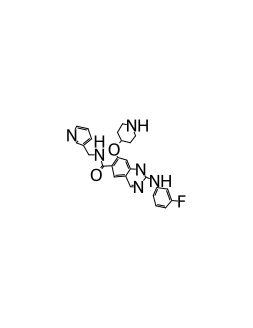 O=C(NCc1cccnc1)c1cc2cnc(Nc3cccc(F)c3)nc2cc1OC1CCNCC1